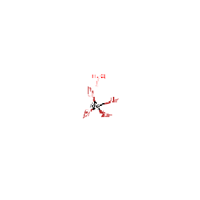 O.[Br][Mo]([Br])([Br])[Br]